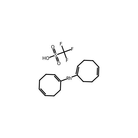 C1=CCC[C]([Rh][C]2=CCCC=CCC2)=CCC1.O=S(=O)(O)C(F)(F)F